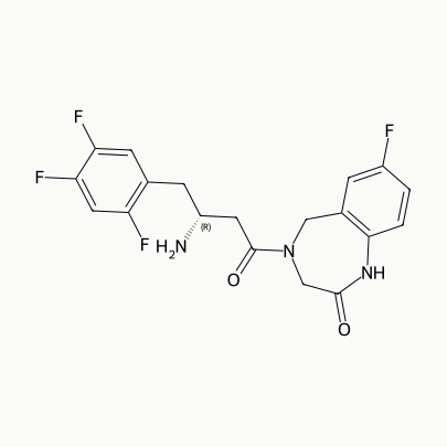 N[C@@H](CC(=O)N1CC(=O)Nc2ccc(F)cc2C1)Cc1cc(F)c(F)cc1F